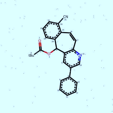 CC(C)(C)C(=O)OC1c2cc(-c3ccccc3)cnc2C=Cc2c(C#N)cccc21